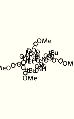 CCn1nc(C[N+]2(CC3=C(C(=O)OCc4ccc(OC)cc4)N4C(=O)[C@@H](CC(=O)C(=NOC(CC(=O)OCc5ccc(OC)cc5)C(=O)OC(C)(C)C)c5cnc(NC(=O)OC(C)(C)C)s5)[C@H]4SC3)CCCCC2)c(=O)c2cc(OCc3ccc(OC)cc3)c(OCc3ccc(OC)cc3)cc21